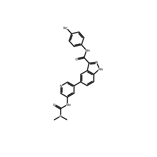 CN(C)C(=O)Nc1cncc(-c2ccc3[nH]nc(C(=O)Nc4ccc(C#N)cc4)c3c2)c1